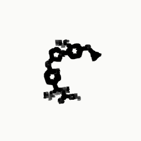 CC(=O)N[C@@H](C)c1ccc(OC2CCN(c3ccc(OC4CC4)cc3C)C2)nc1